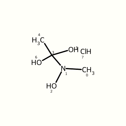 CN(O)C(C)(O)O.Cl